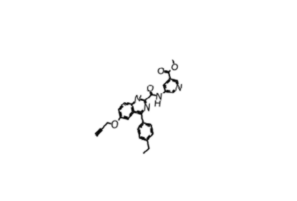 C#CCOc1ccc2nc(C(=O)Nc3cncc(C(=O)OC)c3)nc(-c3ccc(CC)cc3)c2c1